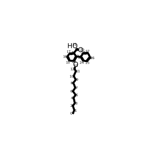 CCCCCCCCCCCCCOc1cccc(C(=O)O)c1-c1ccccc1